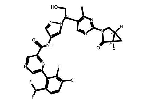 Cc1nc(N2C[C@@H]3C[C@@H]3C2=O)ncc1[C@H](CO)n1cc(NC(=O)c2cncc(-c3c(C(F)F)ccc(Cl)c3F)n2)cn1